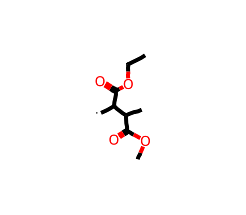 [CH2]C(C(=O)OCC)C(C)C(=O)OC